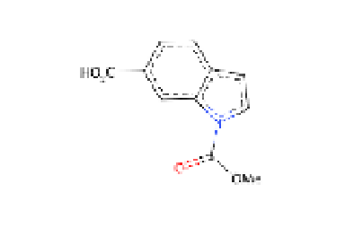 COC(=O)n1ccc2ccc(C(=O)O)cc21